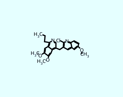 CCCc1ncc(Cc2cc3cc(OC)ccc3nc2Cl)c2cc(OC)c(OC)cc12